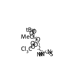 CO[C@@H](CC(=O)OC(C)(C)C)C(C)(C)C(=O)[C@H](C)[C@@H](OC(=O)OCC(Cl)(Cl)Cl)[C@@H](C)C/C=C/C(C)=C\C[C@H](N=[N+]=[N-])/C(C)=C/c1csc(C)n1